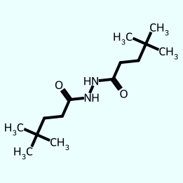 CC(C)(C)CCC(=O)NNC(=O)CCC(C)(C)C